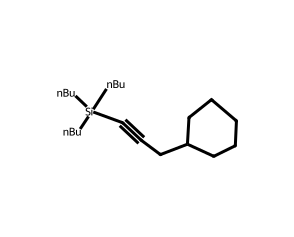 CCCC[Si](C#CCC1CCCCC1)(CCCC)CCCC